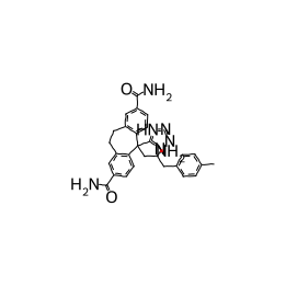 Cc1ccc(C[C@H](N)CC2(c3nnn[nH]3)c3ccc(C(N)=O)cc3CCc3cc(C(N)=O)ccc32)cc1